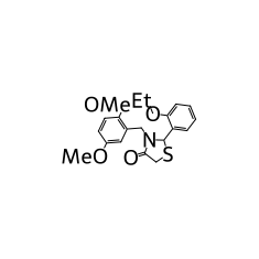 CCOc1ccccc1C1SCC(=O)N1Cc1cc(OC)ccc1OC